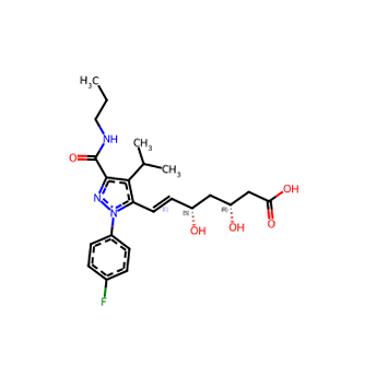 CCCNC(=O)c1nn(-c2ccc(F)cc2)c(/C=C/[C@@H](O)C[C@@H](O)CC(=O)O)c1C(C)C